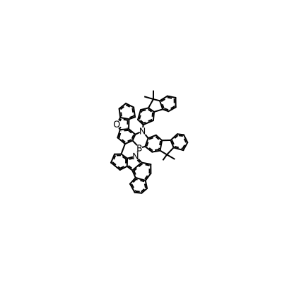 CC1(C)c2ccccc2-c2cc(N3c4cc5c(cc4B4c6c(cc7oc8ccccc8c7c63)-c3cccc6c7c8ccccc8ccc7n4c36)C(C)(C)c3ccccc3-5)ccc21